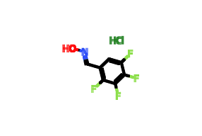 Cl.ON=Cc1cc(F)c(F)c(F)c1F